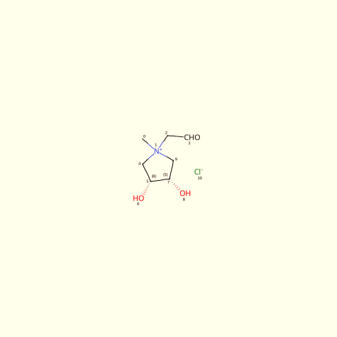 C[N+]1(CC=O)C[C@@H](O)[C@@H](O)C1.[Cl-]